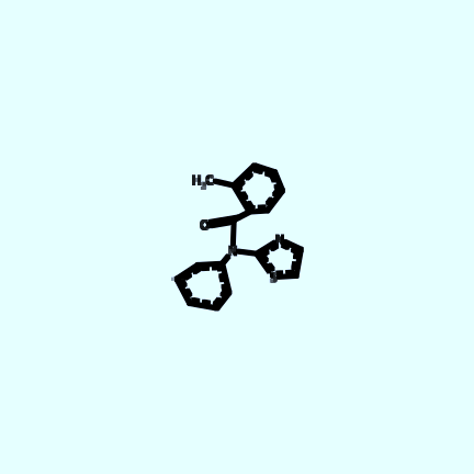 Cc1ccccc1C(=O)N(c1c[c]ccc1)c1nccs1